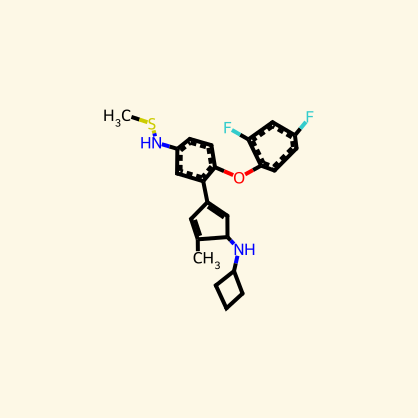 CSNc1ccc(Oc2ccc(F)cc2F)c(C2=CC(NC3CCC3)C(C)=C2)c1